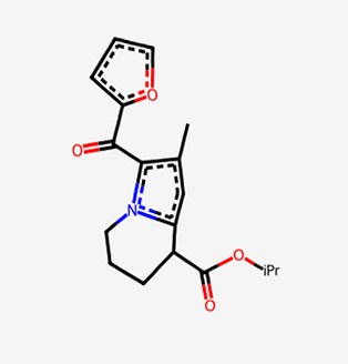 Cc1cc2n(c1C(=O)c1ccco1)CCCC2C(=O)OC(C)C